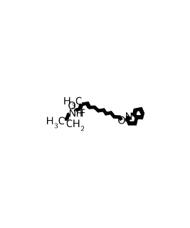 C=C(C)CNC(=O)C(F)=C(C)C=CCCCCCCCOc1ccc2ccccc2n1